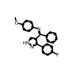 COc1ccc(N=C(c2ccccc2)c2c[nH]nc2-c2ccc(F)cc2)cc1